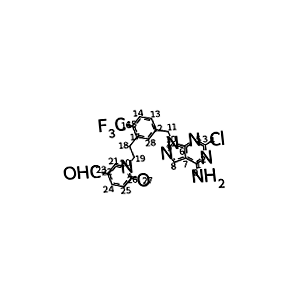 Nc1nc(Cl)nc2c1cnn2Cc1ccc(C(F)(F)F)c(CCn2cc(C=O)ccc2=O)c1